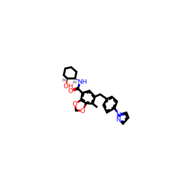 Cc1c(Cc2ccc(-n3cccn3)cc2)cc(C(=O)N[C@H]2CCCC[C@@H]2O)c2c1OCO2